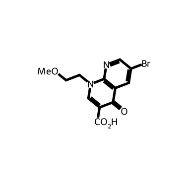 COCCn1cc(C(=O)O)c(=O)c2cc(Br)cnc21